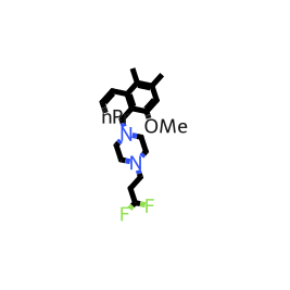 CCC/C=C\c1c(C)c(C)cc(OC)c1CN1CCN(CCC(F)F)CC1